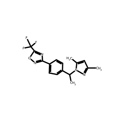 Cc1cc(C)n(C(C)c2ccc(-c3noc(C(F)(F)F)n3)cc2)n1